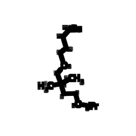 CC(C)OCCC(C)(C)COCCCC(C)(C)C